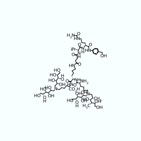 CC(C)[C@H](NC(=O)CCC(=O)NCCCC[C@H](NC(=O)[C@@H](N)CCCCN(C[C@H](C)[C@@H](O)[C@H](C)[C@H](O)CO)C[C@H](O)[C@@H](O)[C@H](O)[C@H](O)CO)C(=O)N[C@@H](CCCCN(C[C@H](O)[C@@H](O)[C@H](O)[C@H](O)CO)C[C@H](O)[C@@H](O)[C@H](O)[C@H](O)CO)C(=O)O)C(=O)N[C@@H](CCCNC(N)=O)C(=O)Nc1ccc(CO)cc1